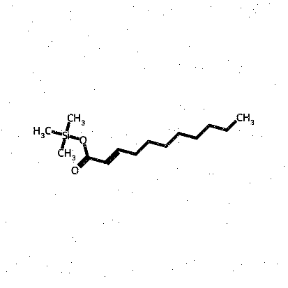 CCCCCCCCC=CC(=O)O[Si](C)(C)C